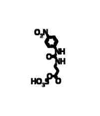 O=C(NCCC(=O)OS(=O)(=O)O)Nc1ccc([N+](=O)[O-])cc1